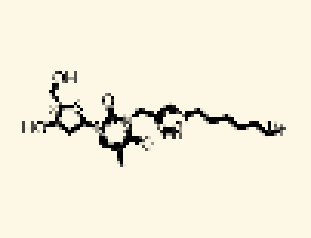 Cc1cn(C2CC(O)[C@@H](CO)S2)c(=O)n(Cc2cn(CCCCCC[18F])nn2)c1=O